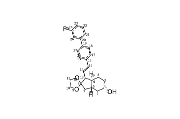 O[C@H]1CC[C@H]2[C@H](C1)CC1(OCCO1)[C@H]2C=Cc1ccc(-c2cccc(F)c2)cn1